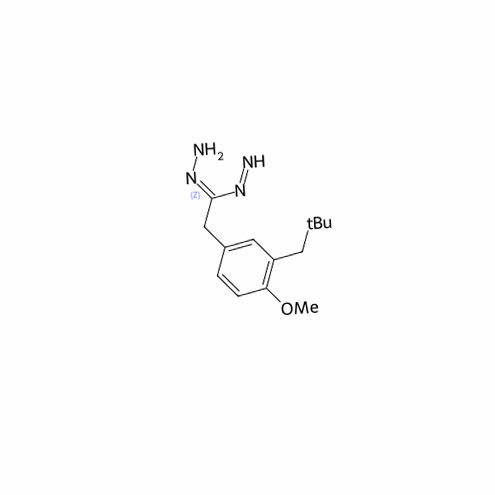 COc1ccc(C/C(N=N)=N/N)cc1CC(C)(C)C